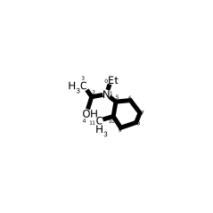 CCN(C(C)O)C1CCCCC1C